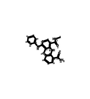 CNC(=O)c1cnc(Nc2ccccn2)c2c1Nc1c(cccc1C(N)=O)O2